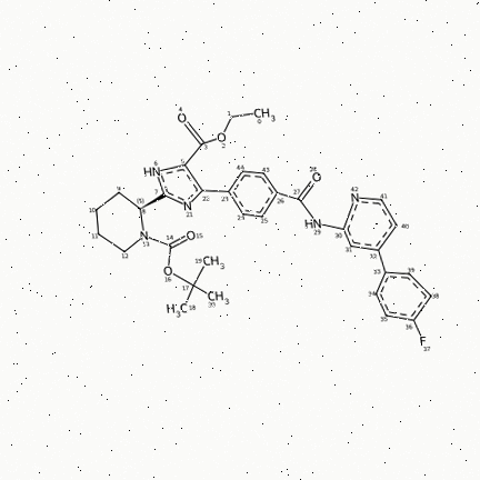 CCOC(=O)c1[nH]c([C@@H]2CCCCN2C(=O)OC(C)(C)C)nc1-c1ccc(C(=O)Nc2cc(-c3ccc(F)cc3)ccn2)cc1